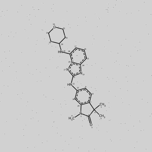 CN1C(=O)C(C)(C)c2ccc(Nc3nc4cccc(NC5CCOCC5)n4n3)cc21